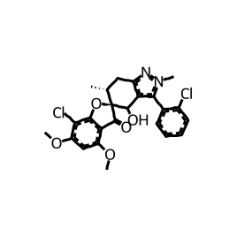 COc1cc(OC)c2c(c1Cl)O[C@]1(C2=O)C(O)c2c(nn(C)c2-c2ccccc2Cl)C[C@H]1C